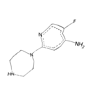 Nc1cc(N2CCNCC2)ncc1F